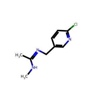 CNC(C)=NCc1ccc(Cl)nc1